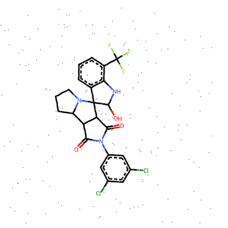 O=C1C2C3CCCN3C3(c4cccc(C(F)(F)F)c4NC3O)C2C(=O)N1c1cc(Cl)cc(Cl)c1